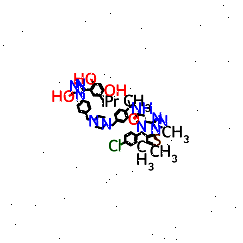 Cc1sc2c(c1C)C(c1ccc(Cl)cc1)=N[C@H](CC(=O)N[C@H](C)c1ccc(CN3CCN(Cc4ccc(-n5c(O)nnc5-c5cc(C(C)C)c(O)cc5O)cc4)CC3)cc1)c1nnc(C)n1-2